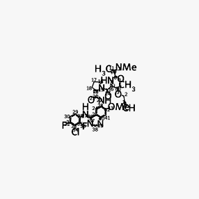 C#CCO[C@H](C)[C@H](NC(=O)[C@H](C)NC)C(=O)N1CCC[C@H]1C(=O)Nc1cc2c(Nc3ccc(F)c(Cl)c3F)ncnc2cc1OC